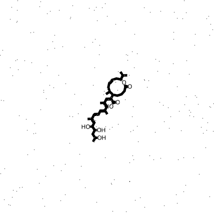 CC(=CC=CC(C)=CC(O)C(O)CC(C)O)C=C(C)C=C(C(=O)O)C1CCCC(=O)OC(C(C)C)CC=CCC1C